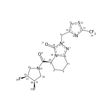 O=C([C@@H]1CCCc2nn(Cc3csc(C(F)(F)F)n3)c(=O)n21)N1C[C@@H](F)[C@@H](F)C1